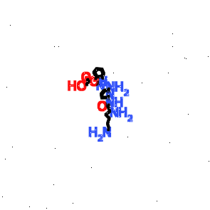 NCCCC[C@H](N)C(=O)Nc1ccc(/N=N/c2ccccc2OC(=O)CO)c(N)n1